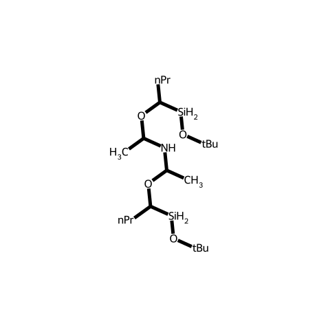 CCCC(OC(C)NC(C)OC(CCC)[SiH2]OC(C)(C)C)[SiH2]OC(C)(C)C